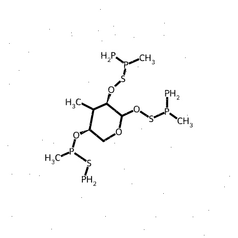 CC1[C@@H](OSP(C)P)C(OSP(C)P)OC[C@H]1OP(C)SP